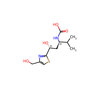 CC(C)[C@@H](C[C@@H](O)c1nc(CO)cs1)NC(=O)O